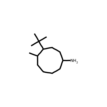 CC1CCCCC(N)CCC1C(C)(C)C